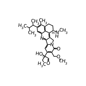 CC[C@@](O)(C=O)c1cc2n(c(=O)c1COC)Cc1c-2nc2cc(C(C)C(C)C)c(C)c3c2c1[C@H](NC)CC3